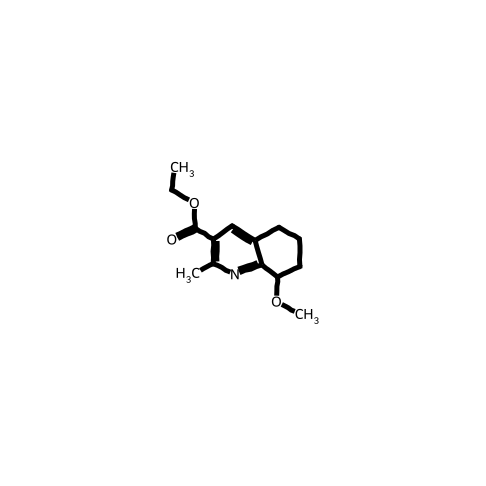 CCOC(=O)c1cc2c(nc1C)C(OC)CCC2